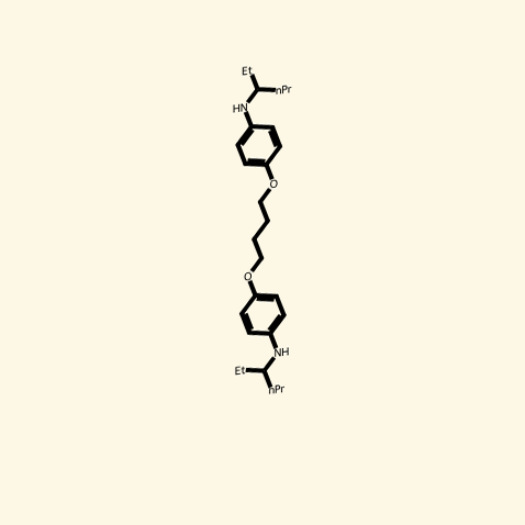 CCCC(CC)Nc1ccc(OCCCCOc2ccc(NC(CC)CCC)cc2)cc1